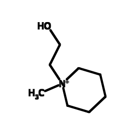 C[N+]1(CCO)CCCCC1